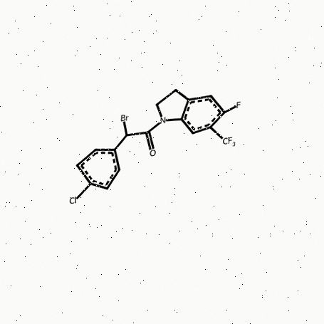 O=C(C(Br)c1ccc(Cl)cc1)N1CCc2cc(F)c(C(F)(F)F)cc21